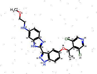 COCCNc1ccc2nc(-c3n[nH]c4ccc(OC(C)c5c(Cl)cncc5Cl)cc34)[nH]c2c1